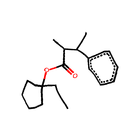 CCC1(OC(=O)C(C)C(C)c2ccccc2)CCCC1